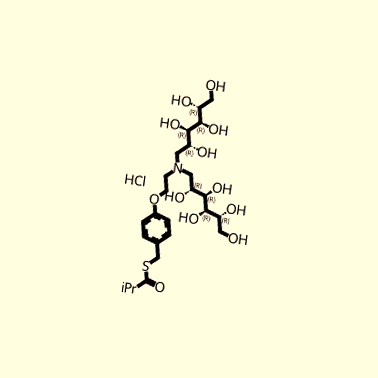 CC(C)C(=O)SCc1ccc(OCCN(C[C@@H](O)[C@@H](O)[C@H](O)[C@H](O)CO)C[C@@H](O)[C@@H](O)[C@H](O)[C@H](O)CO)cc1.Cl